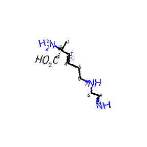 C[C@](N)(/C=C/CCNCC=N)C(=O)O